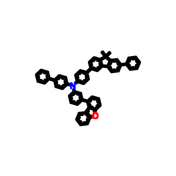 CC1(C)c2ccc(-c3ccc(N(c4ccc(-c5ccccc5)cc4)c4cccc(-c5cccc6oc7ccccc7c56)c4)cc3)cc2-c2ccc(-c3ccccc3)cc21